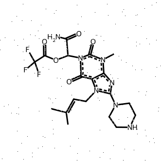 CC(C)=CCn1c(N2CCNCC2)nc2c1c(=O)n(C(OC(=O)C(F)(F)F)C(N)=O)c(=O)n2C